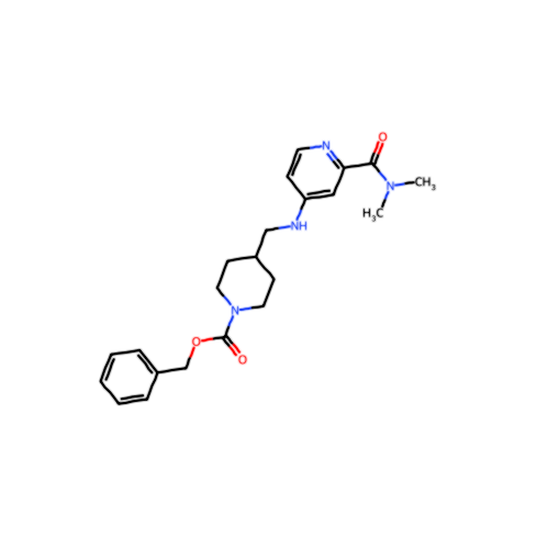 CN(C)C(=O)c1cc(NCC2CCN(C(=O)OCc3ccccc3)CC2)ccn1